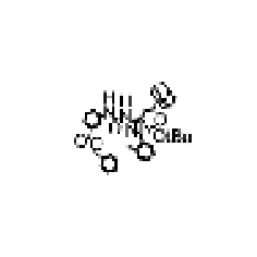 Cc1ccccc1-c1nc(NC(=O)Nc2cccc(C(=O)OCc3ccccc3)c2)c(CCC23CC4CC(CC(C4)C2)C3)n1C(=O)OC(C)(C)C